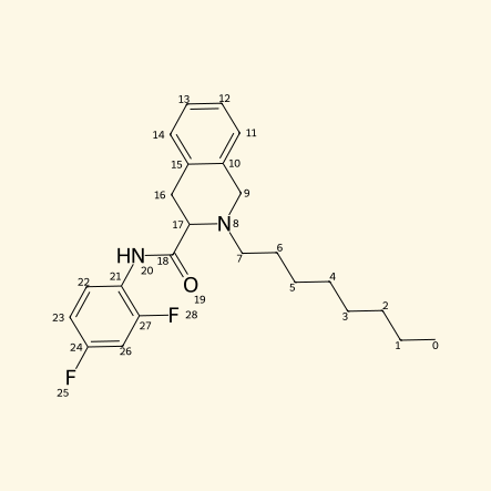 CCCCCCCCN1Cc2ccccc2CC1C(=O)Nc1ccc(F)cc1F